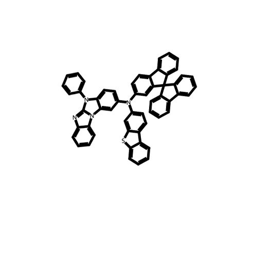 c1ccc(-n2c3ccc(N(c4ccc5c(c4)C4(c6ccccc6-c6ccccc64)c4ccccc4-5)c4ccc5c(c4)sc4ccccc45)cc3n3c4ccccc4nc23)cc1